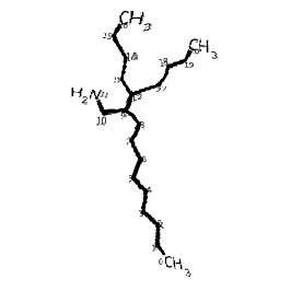 CCCCCCCCCC(CN)C(CCCC)CCCC